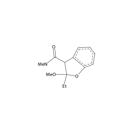 CCC1(OC)Oc2ccccc2C1C(=O)NC